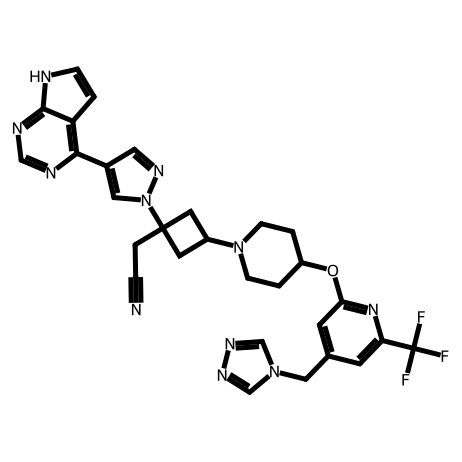 N#CCC1(n2cc(-c3ncnc4[nH]ccc34)cn2)CC(N2CCC(Oc3cc(Cn4cnnc4)cc(C(F)(F)F)n3)CC2)C1